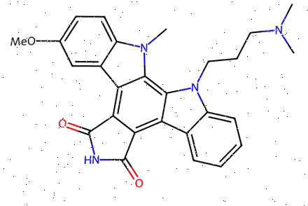 COc1ccc2c(c1)c1c3c(c4c5ccccc5n(CCCN(C)C)c4c1n2C)C(=O)NC3=O